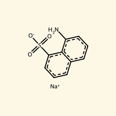 Nc1cccc2cccc(S(=O)(=O)[O-])c12.[Na+]